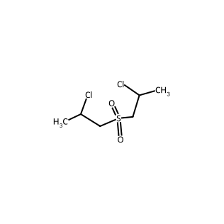 CC(Cl)CS(=O)(=O)CC(C)Cl